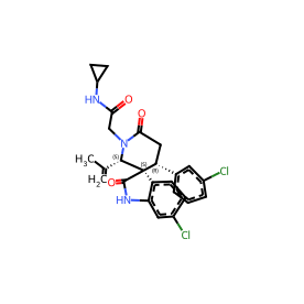 C=C(C)[C@@H]1N(CC(=O)NC2CC2)C(=O)C[C@H](c2cccc(Cl)c2)[C@@]12C(=O)Nc1cc(Cl)ccc12